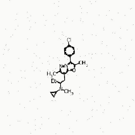 CCC(Cc1c(C)nn2c(-c3ccc(Cl)cc3)c(C)oc12)N(C)C1CC1